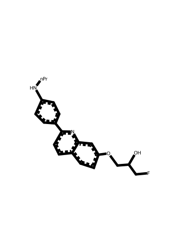 CCCNc1ccc(-c2ccc3ccc(OCC(O)CF)cc3n2)cc1